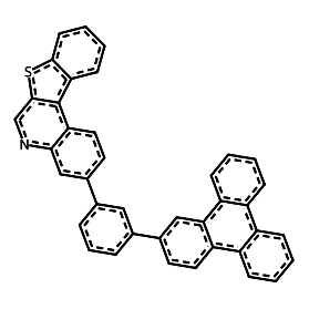 c1cc(-c2ccc3c(c2)ncc2sc4ccccc4c23)cc(-c2ccc3c4ccccc4c4ccccc4c3c2)c1